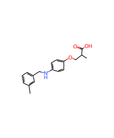 Cc1cccc(CNc2ccc(OCC(C)C(=O)O)cc2)c1